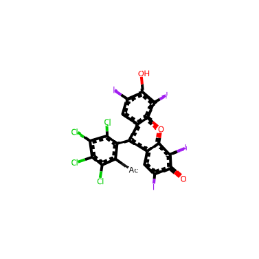 CC(=O)c1c(Cl)c(Cl)c(Cl)c(Cl)c1-c1c2cc(I)c(=O)c(I)c-2oc2c(I)c(O)c(I)cc12